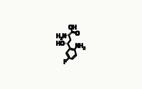 Nc1ccc(F)cc1[C@H](O)C[C@H](N)C(=O)O